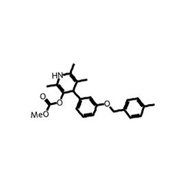 COC(=O)OC1=C(C)NC(C)=C(C)C1c1cccc(OCc2ccc(C)cc2)c1